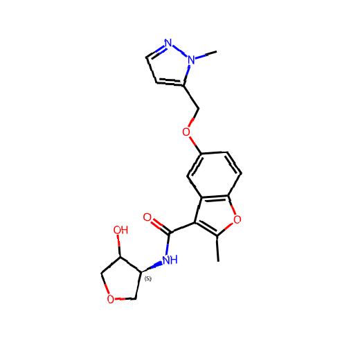 Cc1oc2ccc(OCc3ccnn3C)cc2c1C(=O)N[C@H]1COCC1O